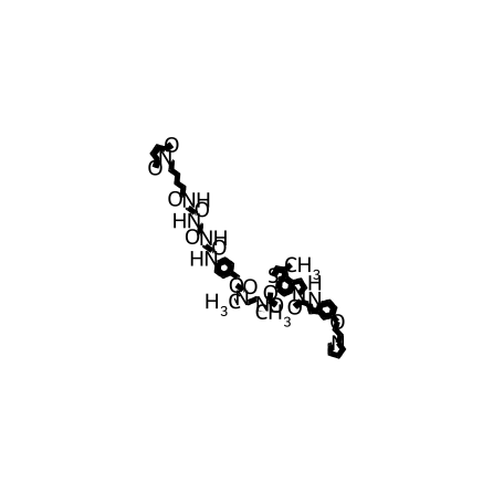 Cc1csc2c(OC(=O)N(C)CCN(C)C(=O)OCc3ccc(NC(=O)CNC(=O)CNC(=O)CNC(=O)CCCCCN4C(=O)C=CC4=O)cc3)cc3c(c12)CCN3C(=O)c1cc2cc(OCCN3CCCC3)ccc2[nH]1